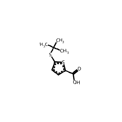 CC(C)(C)Sc1ccc(C(=O)O)s1